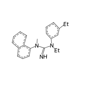 CCc1cccc(N(CC)C(=N)N(C)c2cccc3ccccc23)c1